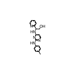 Cc1ccc(Nc2nccc(NC(CO)c3ccccn3)n2)cc1